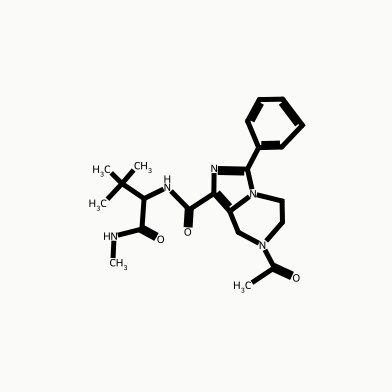 CNC(=O)C(NC(=O)c1nc(-c2ccccc2)n2c1CN(C(C)=O)CC2)C(C)(C)C